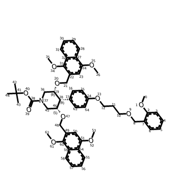 COc1ccccc1COCCCOc1ccc([C@H]2[C@@H](OCc3cc(OC)c4ccccc4c3OC)CN(C(=O)OC(C)(C)C)C[C@H]2OCc2cc(OC)c3ccccc3c2OC)cc1